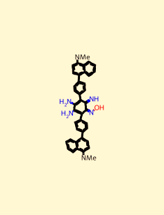 CNc1ccc(-c2ccc(C3=C(N)C(N)=C(c4ccc(-c5ccc(NC)c6ccccc56)cc4)/C(=N/O)C3=N)cc2)c2ccccc12